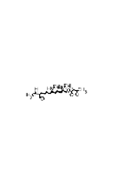 CNC(C=O)=CC=CC=C(C=CC=C(COC(=O)CC(C)=O)NC)NC